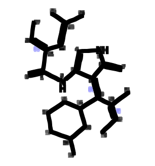 C=C(Nc1c[nH]c(=C)/c1=C(\C(C)=C/C)C1CCCC(C)C1)/C(C=C(C)C)=C/C